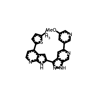 COc1cncc(-c2cc3c(-c4cc5c(-c6ccc(C)s6)ccnc5[nH]4)n[nH]c3cn2)c1